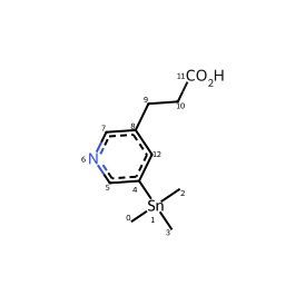 [CH3][Sn]([CH3])([CH3])[c]1cncc(CCC(=O)O)c1